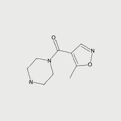 Cc1oncc1C(=O)N1CC[N]CC1